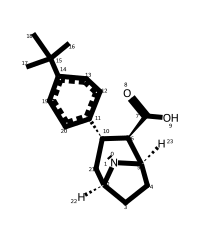 CN1[C@H]2CC[C@@H]1[C@H](C(=O)O)[C@@H](c1ccc(C(C)(C)C)cc1)C2